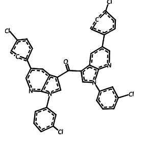 O=C(c1cn(-c2cccc(Cl)c2)c2ncc(-c3ccc(Cl)cc3)cc12)c1cn(-c2cccc(Cl)c2)c2ncc(-c3ccc(Cl)cc3)cc12